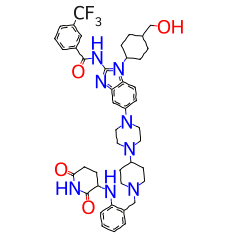 O=C1CCC(Nc2ccccc2CN2CCC(N3CCN(c4ccc5c(c4)nc(NC(=O)c4cccc(C(F)(F)F)c4)n5C4CCC(CO)CC4)CC3)CC2)C(=O)N1